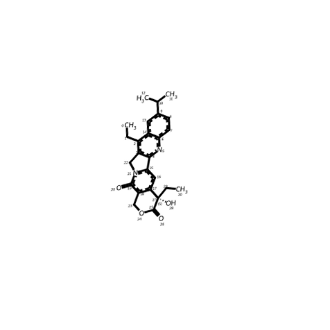 CCc1c2c(nc3ccc(C(C)C)cc13)-c1cc3c(c(=O)n1C2)COC(=O)[C@]3(O)CC